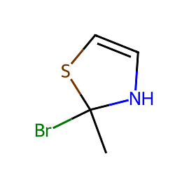 CC1(Br)NC=CS1